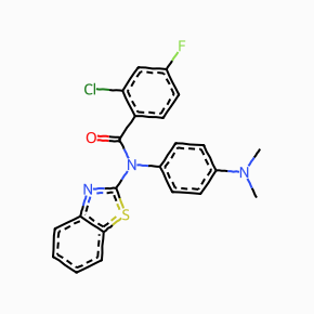 CN(C)c1ccc(N(C(=O)c2ccc(F)cc2Cl)c2nc3ccccc3s2)cc1